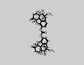 CN1CC[C@]23c4c5ccc(OC(=O)Oc6ccc7c8c6O[C@H]6C(=O)CC[C@@]9(O)[C@@H](C7)N(C)CC[C@]869)c4O[C@H]2C(=O)CC[C@@]3(O)[C@H]1C5